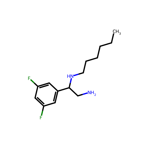 CCCCCCNC(CN)c1cc(F)cc(F)c1